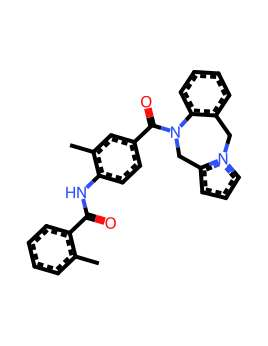 Cc1cc(C(=O)N2Cc3cccn3Cc3ccccc32)ccc1NC(=O)c1ccccc1C